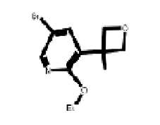 CCOc1ncc(Br)cc1C1(C)COC1